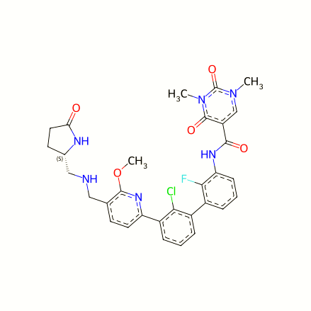 COc1nc(-c2cccc(-c3cccc(NC(=O)c4cn(C)c(=O)n(C)c4=O)c3F)c2Cl)ccc1CNC[C@@H]1CCC(=O)N1